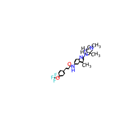 Cc1cc(NCC(C)(C)CN(C)C)nc2ccc(NC(=O)C=Cc3ccc(OC(F)(F)F)cc3)cc12